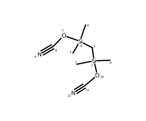 C[Si](C)(C[Si](C)(C)OC#N)OC#N